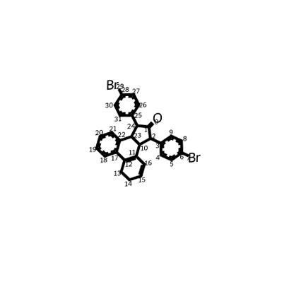 O=C1C(c2ccc(Br)cc2)C2C3=C(CCC=C3)c3ccccc3C2C1c1ccc(Br)cc1